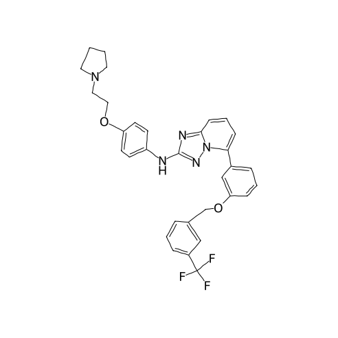 FC(F)(F)c1cccc(COc2cccc(-c3cccc4nc(Nc5ccc(OCCN6CCCC6)cc5)nn34)c2)c1